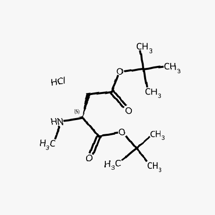 CN[C@@H](CC(=O)OC(C)(C)C)C(=O)OC(C)(C)C.Cl